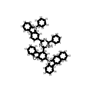 c1ccc(C2N=C(c3ccc4c5ccccc5n(-c5ccccc5)c4c3)N=C(c3cc(-n4c5ccccc5c5cc6ccccc6cc54)cc4oc5ccccc5c34)N2)cc1